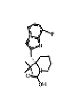 CC(C)(C)[C@@]1(Cc2cn3cccc(F)c3n2)CCCCN1C(=O)O